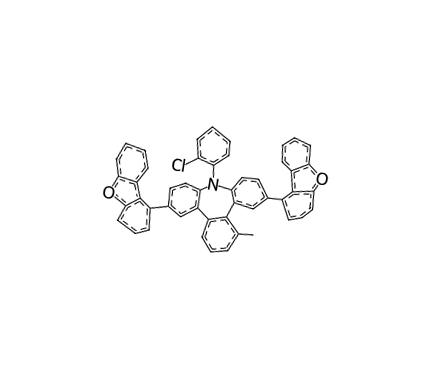 Cc1cccc2c1-c1cc(-c3cccc4oc5ccccc5c34)ccc1N(c1ccccc1Cl)c1ccc(-c3cccc4oc5ccccc5c34)cc1-2